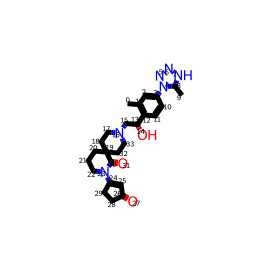 Cc1cc(N2N=NNC2C)ccc1C(O)CN1CCC2(CCCN(C3=CC(=O)CC3)C2=O)CC1